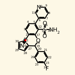 N#Cc1ccc(-c2cccnc2)c(S(N)(=O)=O)c1OC(c1ccc(F)cc1)c1cccs1